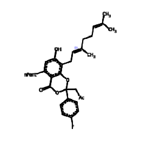 CCCCCc1cc(O)c(C/C=C(\C)CCC=C(C)C)c2c1C(=O)OC(CC(C)=O)(c1ccc(F)cc1)O2